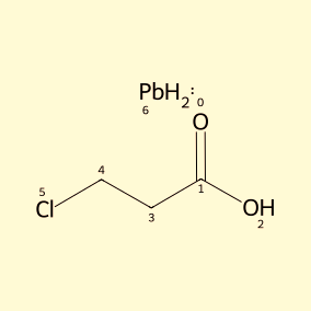 O=C(O)CCCl.[PbH2]